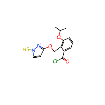 CC(C)Oc1cccc(C(=O)Cl)c1COc1ccn(S)n1